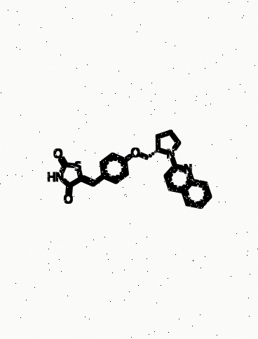 O=C1NC(=O)C(=Cc2ccc(OC[C@@H]3CCCN3c3ccc4ccccc4n3)cc2)S1